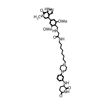 COc1cc(-c2cn(C)c(=O)c3[nH]ncc23)cc(OC)c1CNCC(=O)NCCCCCCCCN1CCN(c2cccc(NC3CCC(=O)NC3=O)c2)CC1